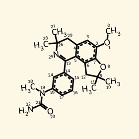 COc1cc2c(c3c1OC(C)(C)C3)C(c1cccc(N(C)C(N)=O)c1)=NC(C)(C)C2